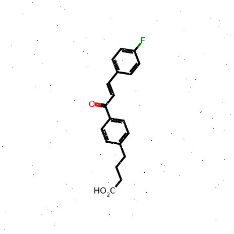 O=C(O)CCCc1ccc(C(=O)/C=C/c2ccc(F)cc2)cc1